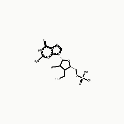 Nc1nc2c(ncn2[C@@H]2O[C@H](COP(=O)(O)O)C(CO)C2O)c(=O)[nH]1